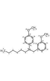 CCCCCCN(Cc1cccc(OC)c1)c1ccc(OC)cc1